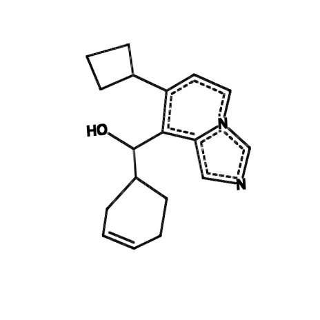 OC(c1c(C2CCC2)ccn2cncc12)C1CC=CCC1